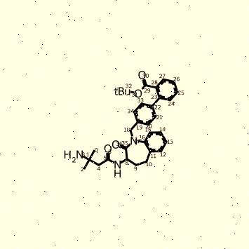 CC(C)(N)CC(=O)NC1CCc2ccccc2N(Cc2ccc(-c3ccccc3C(=O)OC(C)(C)C)cc2)C1=O